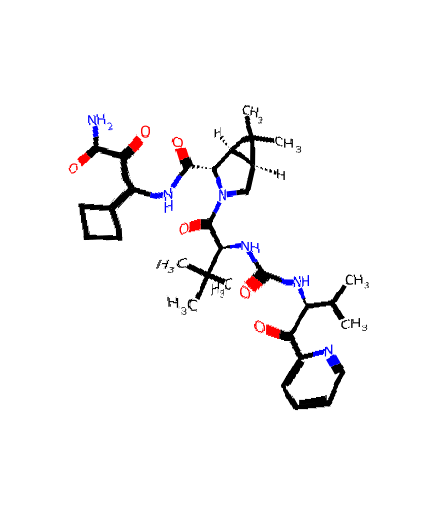 CC(C)[C@H](NC(=O)N[C@H](C(=O)N1C[C@H]2[C@@H]([C@H]1C(=O)NC(C(=O)C(N)=O)C1CCC1)C2(C)C)C(C)(C)C)C(=O)c1ccccn1